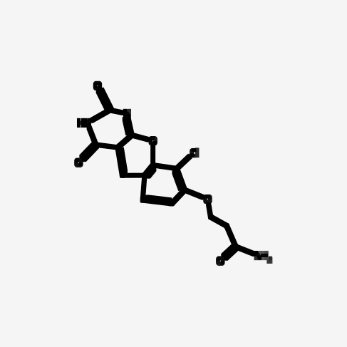 NC(=O)CCOc1ccc2cc3c(=O)[nH]c(=O)nc-3oc2c1Cl